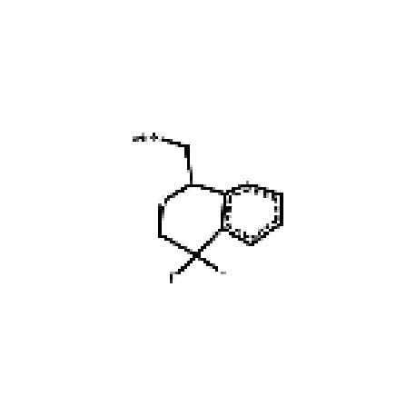 CNC[C@@H]1OCC(F)(F)c2ccccc21